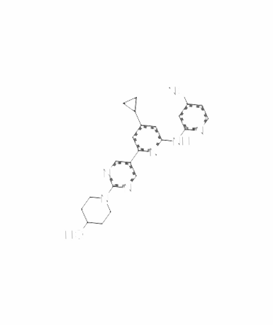 N#Cc1ccnc(Nc2cc(C3CC3)cc(-c3cnc(N4CCC(O)CC4)nc3)n2)c1